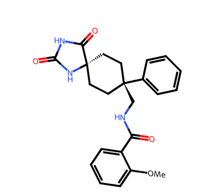 COc1ccccc1C(=O)NC[C@]1(c2ccccc2)CC[C@]2(CC1)NC(=O)NC2=O